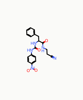 N#CCCNC(=O)C(Cc1ccccc1)NC(=O)Nc1ccc([N+](=O)[O-])cc1